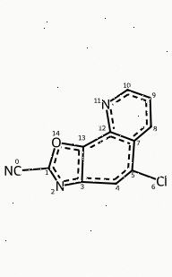 N#Cc1nc2cc(Cl)c3cccnc3c2o1